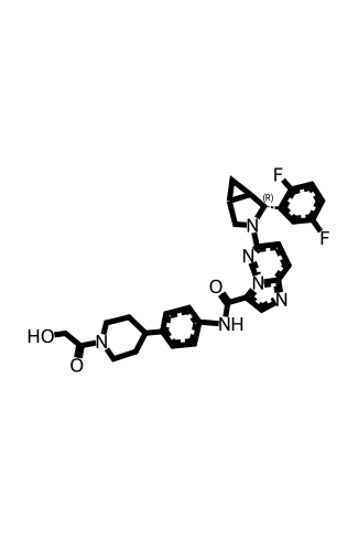 O=C(Nc1ccc(C2CCN(C(=O)CO)CC2)cc1)c1cnc2ccc(N3CC4CC4[C@@H]3c3cc(F)ccc3F)nn12